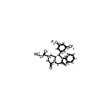 CC(C)(C)OC(=O)N1CCN(Cc2nc3cccnc3n2Cc2cc(C(F)(F)F)cc(C(F)(F)F)c2)C(=O)C1